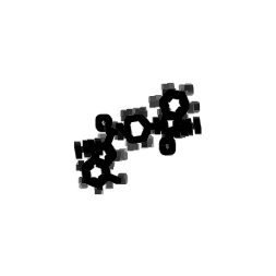 Cc1cccc2[nH]c(C(=O)N3CCC(n4c(=O)[nH]c5ccccc54)CC3)cc12